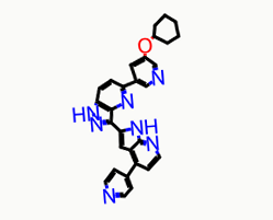 c1cc(-c2ccnc3[nH]c(-c4n[nH]c5ccc(-c6cncc(OC7CCCCC7)c6)nc45)cc23)ccn1